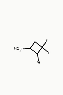 [2H]C1C(C(=O)O)CC1(F)F